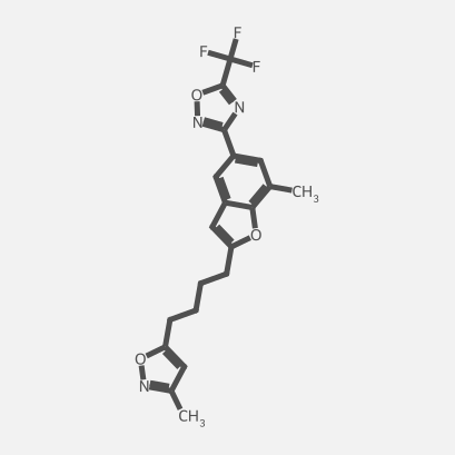 Cc1cc(CCCCc2cc3cc(-c4noc(C(F)(F)F)n4)cc(C)c3o2)on1